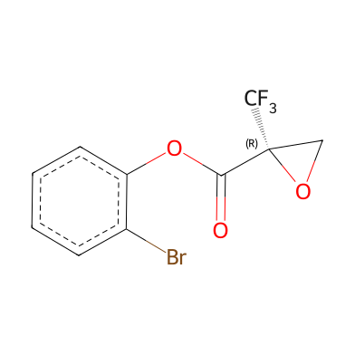 O=C(Oc1ccccc1Br)[C@@]1(C(F)(F)F)CO1